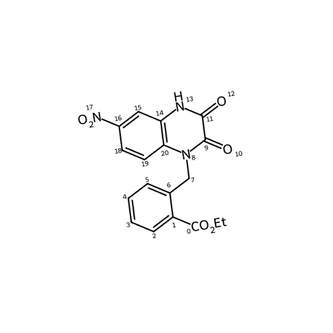 CCOC(=O)c1ccccc1Cn1c(=O)c(=O)[nH]c2cc([N+](=O)[O-])ccc21